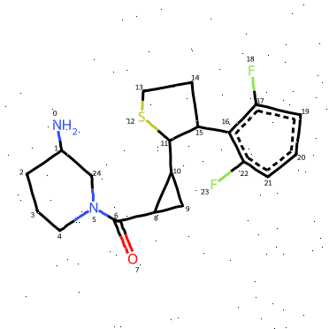 NC1CCCN(C(=O)C2CC2C2SCCC2c2c(F)cccc2F)C1